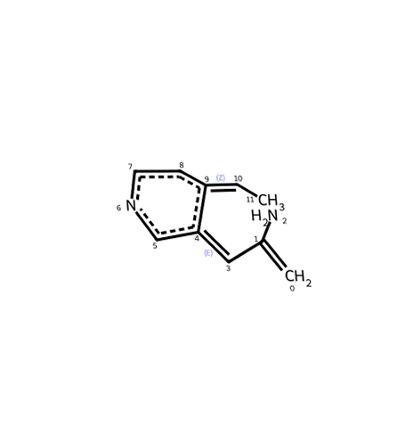 C=C(N)/C=c1/cncc/c1=C/C